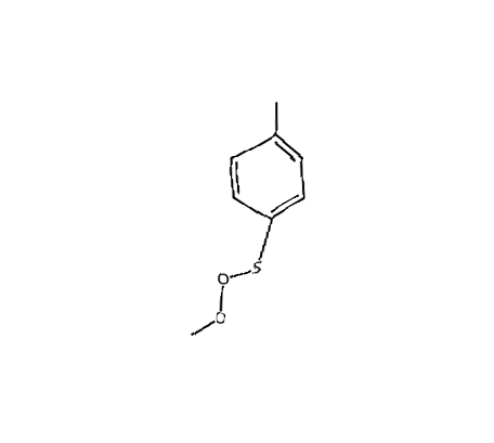 COOSc1ccc(C)cc1